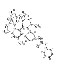 Cc1nc(C)c(C(OC(C)(C)C)C(=O)O)c(N2CC(C)CC(C)C2)c1-c1ccc(NC(=O)Cc2ccccc2)cc1